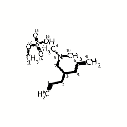 C=CCC(CC=C)CN(C)C.COS(=O)(=O)O